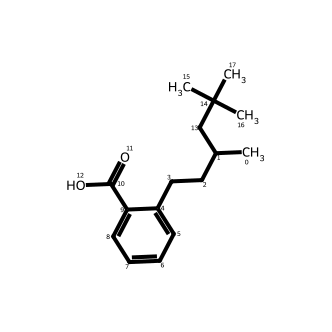 CC(CCc1ccccc1C(=O)O)CC(C)(C)C